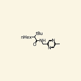 CCCCCCC(C(=O)NCc1cnc(C)cn1)C(C)(C)C